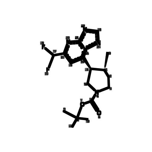 C[C@@H]1CCN(C(=O)OC(C)(C)C)C[C@H]1c1cc(C(F)F)nc2ncnn12